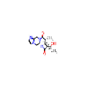 C[C@@H](O)[C@H]1C(=O)N[C@@H]1[C@@H](C)C(=O)N1CCn2ccnc2C1